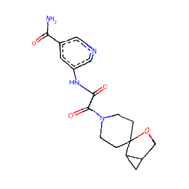 NC(=O)c1cncc(NC(=O)C(=O)N2CCC3(CC2)OCC2CC23)c1